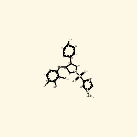 Cn1cnc(S(=O)(=O)N2CC(Nc3ccc(F)c(F)c3F)C(c3ccc(F)cc3)C2)c1